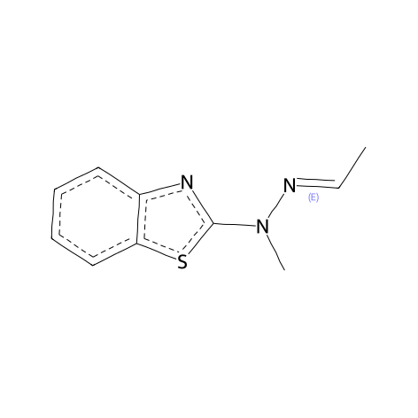 C/C=N/N(C)c1nc2ccccc2s1